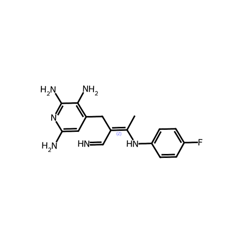 C/C(Nc1ccc(F)cc1)=C(/C=N)Cc1cc(N)nc(N)c1N